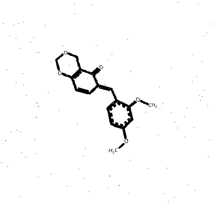 COc1ccc(/C=C2\C=CC3=C(COCO3)C2=O)c(OC)c1